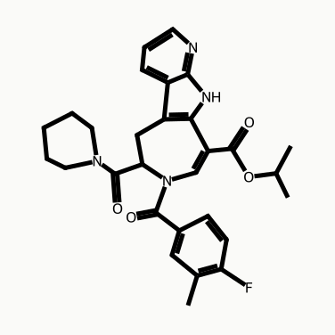 Cc1cc(C(=O)N2C=C(C(=O)OC(C)C)c3[nH]c4ncccc4c3CC2C(=O)N2CCCCC2)ccc1F